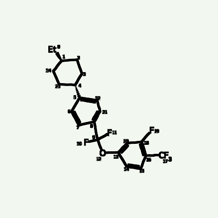 CC[C@H]1CC[C@H](c2ccc(C(F)(F)Oc3ccc(C(F)(F)F)c(F)c3)cc2)CC1